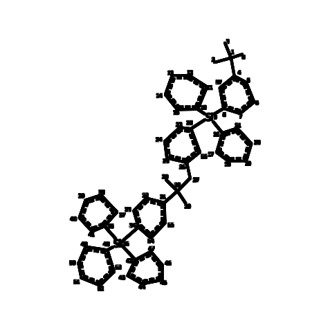 CC(C)(C)c1cccc([Si](c2ccccc2)(c2ccccc2)c2cccc(CC(C)(C)c3ccc([Si](c4ccccc4)(c4ccccc4)c4ccccc4)cc3)c2)c1